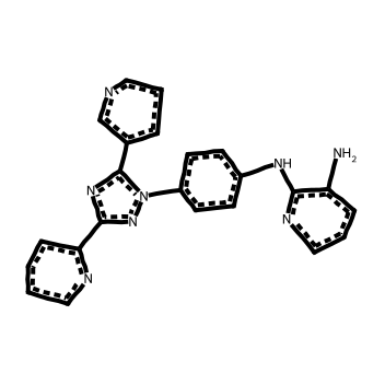 Nc1cccnc1Nc1ccc(-n2nc(-c3ccccn3)nc2-c2cccnc2)cc1